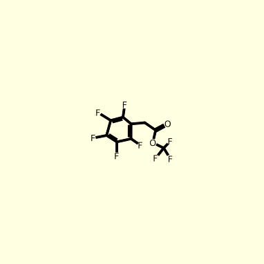 O=C(Cc1c(F)c(F)c(F)c(F)c1F)OC(F)(F)F